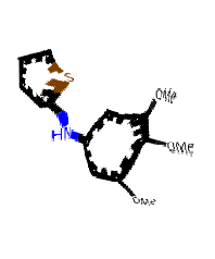 COc1cc(Nc2cccs2)cc(OC)c1OC